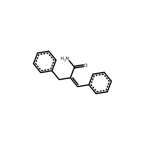 NC(=O)C(=Cc1ccccc1)Cc1ccccc1